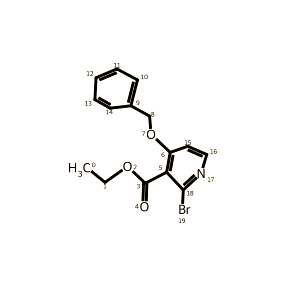 CCOC(=O)c1c(OCc2ccccc2)ccnc1Br